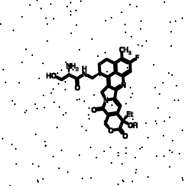 CC[C@@]1(O)C(=O)OCc2c1cc1n(c2=O)Cc2c-1nc1cc(F)c(C)c3c1c2[C@@H](CNC(=O)[C@@H](N)CO)CC3